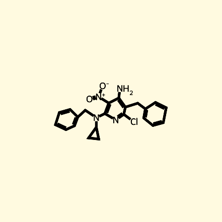 Nc1c(Cc2ccccc2)c(Cl)nc(N(Cc2ccccc2)C2CC2)c1[N+](=O)[O-]